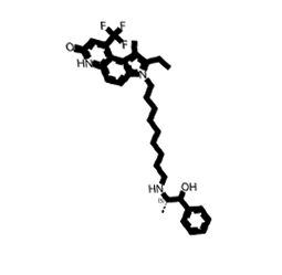 CCc1c(C)c2c3c(C(F)(F)F)cc(=O)[nH]c3ccc2n1CCCCCCCCCN[C@@H](C)C(O)c1ccccc1